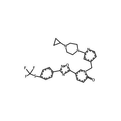 O=c1ccc(-c2nc(-c3ccc(SC(F)(F)F)cc3)no2)cn1Cc1ccnc(N2CCN(C3CC3)CC2)c1